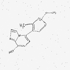 COc1ccc(-c2ccc(O)c3nccn23)c(C)c1